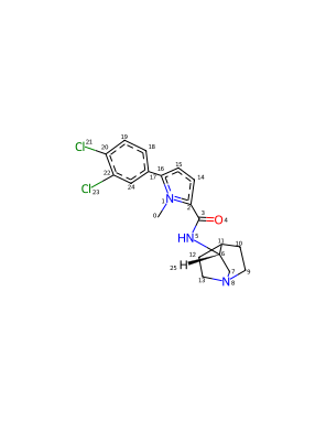 Cn1c(C(=O)N[C@H]2CN3CCC2CC3)ccc1-c1ccc(Cl)c(Cl)c1